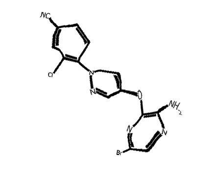 N#Cc1ccc(-n2cc(Oc3nc(Br)cnc3N)cn2)c(Cl)c1